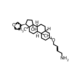 C[C@]12CC[C@H](OCC=CCN)C[C@H]1CC[C@@H]1[C@@H]2CC[C@]2(C)[C@@H](c3ccoc3)CC[C@]12O